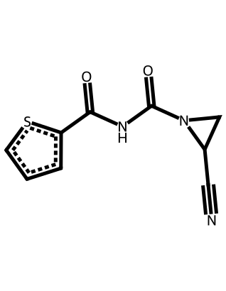 N#CC1CN1C(=O)NC(=O)c1cccs1